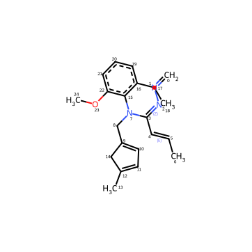 C=N/N=C(/C=C/C)N(CC1=CC=C(C)C1)c1c(CC)cccc1OC